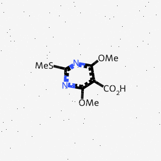 COc1nc(SC)nc(OC)c1C(=O)O